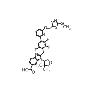 COc1nnc(COc2cccc(-c3cc(F)c(Cc4nc5ccc(C(=O)O)cc5n4C4COCC4(C)C)c(F)c3F)n2)s1